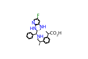 C[C@@H](CN[C@H](c1ccccc1)[C@H]1CNc2cc(F)cnc2N1)c1cccc([C@@H](C)C(=O)O)c1